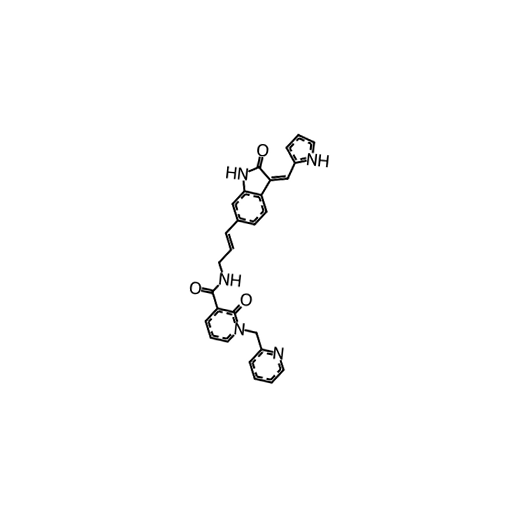 O=C1Nc2cc(/C=C/CNC(=O)c3cccn(Cc4ccccn4)c3=O)ccc2/C1=C/c1ccc[nH]1